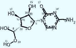 Nc1ncn([C@@H]2O[C@H](C(O)OO)[C@@H](O)[C@H]2O)c(=O)n1